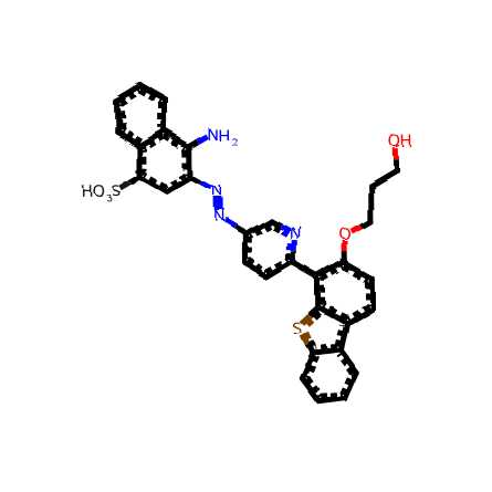 Nc1c(N=Nc2ccc(-c3c(OCCCO)ccc4c3sc3ccccc34)nc2)cc(S(=O)(=O)O)c2ccccc12